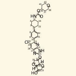 O=C(N[C@H]1CC[C@H](c2ccc(-c3nc4[nH]c(O[C@@H]5CO[C@H]6[C@@H]5OC[C@H]6O)nc4cc3Cl)cc2)CC1)OC1CCOCC1